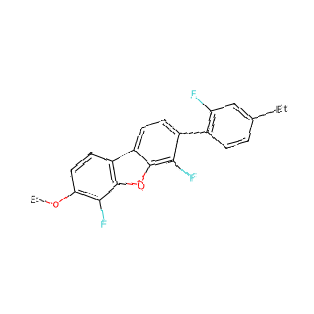 CCOc1ccc2c(oc3c(F)c(-c4ccc(CC)cc4F)ccc32)c1F